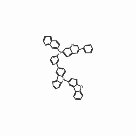 c1ccc(-c2cnc3cc(N(c4cccc(-c5ccc6c(c5)c5ccccc5n6-c5ccc6oc7ccccc7c6c5)c4)c4ccc5ccccc5c4)ccc3c2)cc1